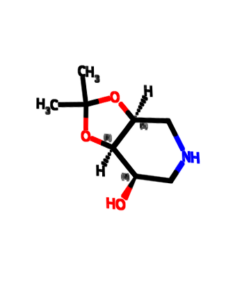 CC1(C)O[C@@H]2[C@H](O)CNC[C@@H]2O1